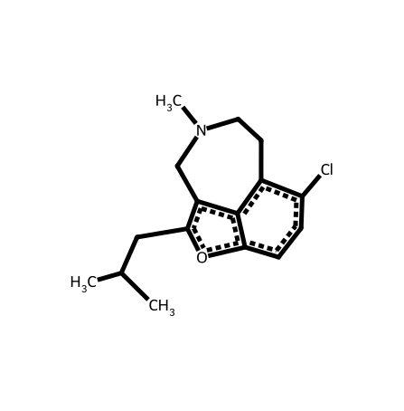 CC(C)Cc1oc2ccc(Cl)c3c2c1CN(C)CC3